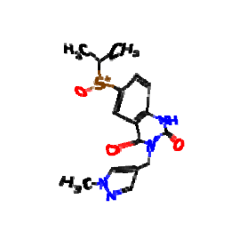 CC(C)[S+]([O-])c1ccc2[nH]c(=O)n(Cc3cnn(C)c3)c(=O)c2c1